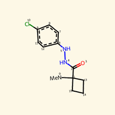 CNC1(C(=O)NNc2ccc(Cl)cc2)CCC1